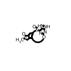 CN1Cc2c3cc(cc2C1=O)CN(C=O)c1nc(nc2[nH][nH]c12)OCCCCC3